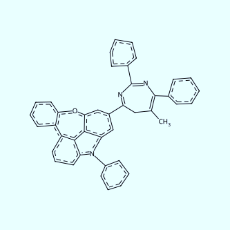 CC1=C(c2ccccc2)N=C(c2ccccc2)N=C(c2cc3oc4ccccc4c4cccc5c4c3c(c2)n5-c2ccccc2)C1